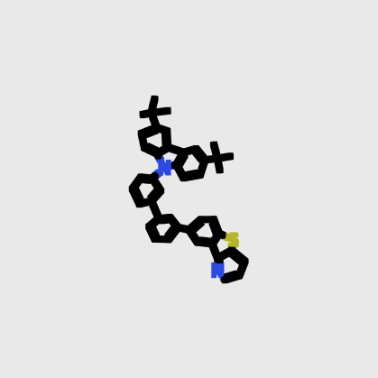 CC(C)(C)c1ccc2c(c1)c1cc(C(C)(C)C)ccc1n2-c1cccc(-c2cccc(-c3ccc4sc5cccnc5c4c3)c2)c1